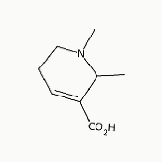 CC1C(C(=O)O)=CCCN1C